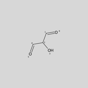 O=CC(O)C=O